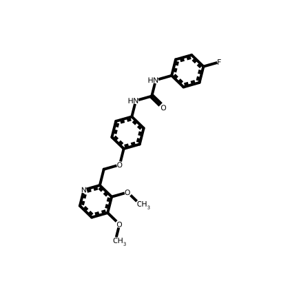 COc1ccnc(COc2ccc(NC(=O)Nc3ccc(F)cc3)cc2)c1OC